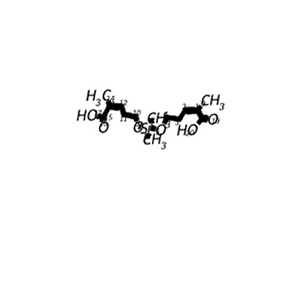 CC(=CCCO[Si](C)(C)OCCC=C(C)C(=O)O)C(=O)O